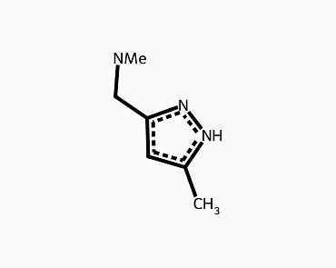 CNCc1cc(C)[nH]n1